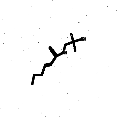 CCC/C=C/C(=O)NCC(C)(C)O